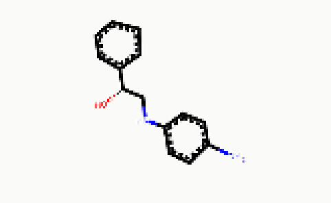 Nc1ccc(NC[C@H](O)c2ccccc2)cc1